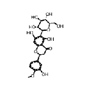 COc1ccc(C2CC(=O)c3c(cc(O)c([C@@H]4O[C@H](CO)[C@@H](O)[C@H](O)[C@H]4O)c3O)O2)cc1O